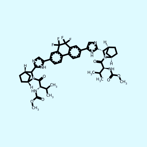 COC(=O)N[C@H](C(=O)N1C(c2ncc(-c3ccc4c(c3)C(F)(F)C(F)(F)c3cc(-c5cnc([C@@H]6[C@H]7CC[C@H](C7)N6C(=O)[C@@H](NC(=O)OC)C(C)C)[nH]5)ccc3-4)[nH]2)[C@H]2CC[C@@H]1C2)C(C)C